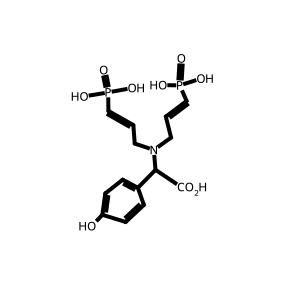 O=C(O)C(c1ccc(O)cc1)N(CC=CP(=O)(O)O)CC=CP(=O)(O)O